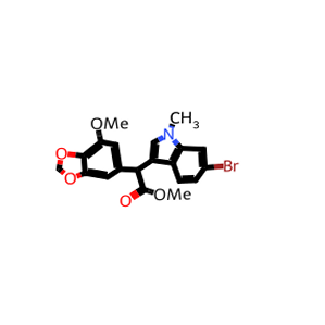 COC(=O)C(c1cc(OC)c2c(c1)OCO2)c1cn(C)c2cc(Br)ccc12